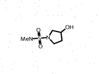 CNS(=O)(=O)N1CCC(O)C1